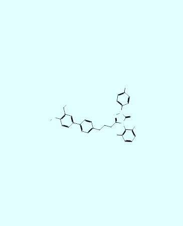 CCOc1ccc(-c2ccc(CCCc3nn(-c4ccc(C(F)(F)F)cc4)c(=O)n3-c3c(F)cccc3F)cc2)cc1CC(=O)O